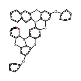 c1ccc(Oc2cc3c4c(c2)Sc2cc5ccccc5cc2B4c2cc4c(cc2S3)Sc2cc(Oc3ccccc3)cc3c2B4c2cc4ccccc4cc2S3)cc1